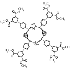 COC(=O)c1cc(C(=O)OC)cc(-c2ccc(-c3c4nc(c(-c5ccc(-c6cc(C(=O)OC)cc(C(=O)OC)c6)cc5)c5ccc([nH]5)c(-c5ccc(-c6cc(C(=O)OC)cc(C(=O)OC)c6)cc5)c5nc(c(-c6ccc(-c7cc(C(=O)OC)cc(C(=O)OC)c7)cc6)c6ccc3[nH]6)C=C5)C=C4)cc2)c1